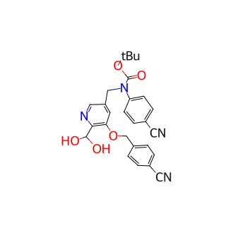 CC(C)(C)OC(=O)N(Cc1cnc(C(O)O)c(OCc2ccc(C#N)cc2)c1)c1ccc(C#N)cc1